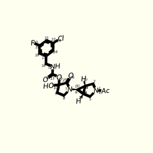 CC(=O)N1C[C@@H]2[C@H](C1)[C@H]2N1CCC(O)(OC(=O)NCc2cc(F)cc(Cl)c2)C1=O